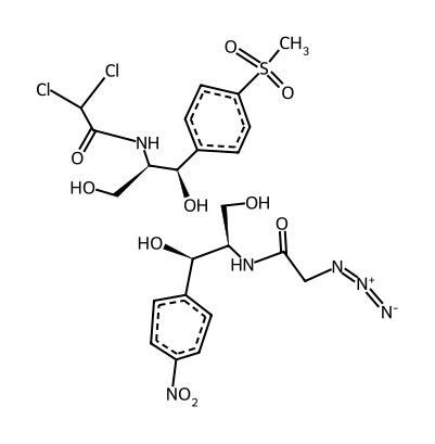 CS(=O)(=O)c1ccc([C@@H](O)[C@@H](CO)NC(=O)C(Cl)Cl)cc1.[N-]=[N+]=NCC(=O)N[C@H](CO)[C@H](O)c1ccc([N+](=O)[O-])cc1